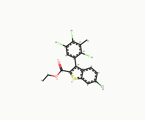 CCOC(=O)c1sc2cc(Cl)ccc2c1-c1cc(F)c(F)c(C)c1F